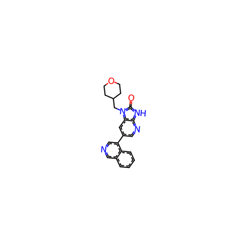 O=c1[nH]c2ncc(-c3cncc4ccccc34)cc2n1CC1CCOCC1